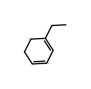 CCC1=C[C]=CC[C]1